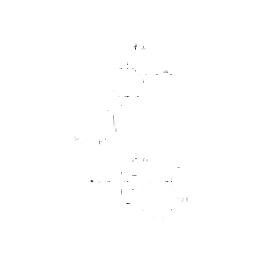 COC1=C(OC)C2C(=O)NCCC(=C1)C2CCCN(C)C[C@H]1Cc2cc(OC)c(OC)cc21